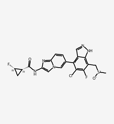 C[S+]([O-])Cc1c(F)c(Cl)c(-c2ccc3nc(NC(=O)[C@@H]4C[C@@H]4F)cn3c2)c2cn[nH]c12